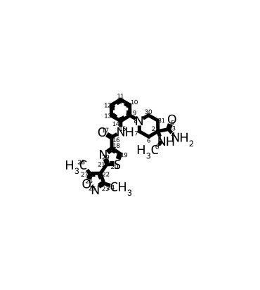 CNC1(C(N)=O)CCN(c2ccccc2NC(=O)c2csc(-c3c(C)noc3C)n2)CC1